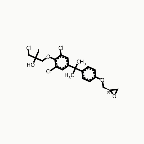 CC(C)(c1ccc(OC[C@H]2CO2)cc1)c1cc(Cl)c(OCC(O)(I)CCl)c(Cl)c1